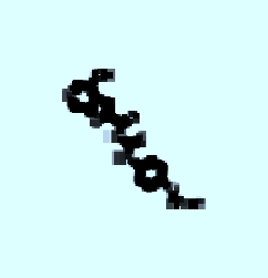 CCCCCOc1ccc(NC(=S)NC(=O)c2cc3c(O)cncc3o2)cc1